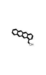 [CH]=Cc1[c]ccc2cc3cc4ccccc4cc3cc12